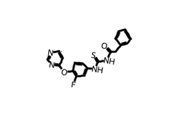 O=C(Cc1ccccc1)NC(=S)Nc1ccc(Oc2c[c]ncn2)c(F)c1